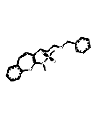 CN(C1=C(CCCOCc2ccccc2)C=Cc2ccccc2O1)S(C)(=O)=O